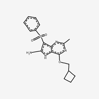 Cc1nc(OCC2CCC2)c2[nH]c(N)c(S(=O)(=O)c3ccccc3)c2n1